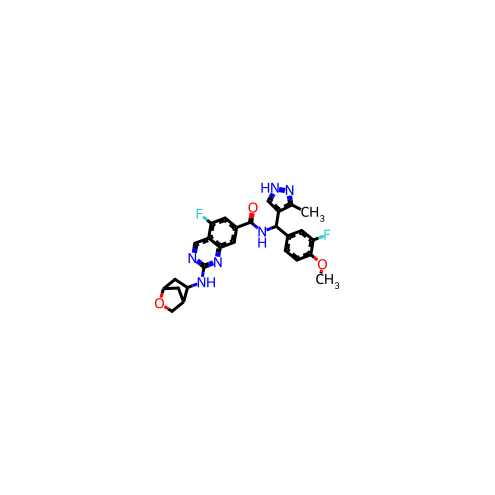 COc1ccc(C(NC(=O)c2cc(F)c3cnc(NC4CC5CC4CO5)nc3c2)c2c[nH]nc2C)cc1F